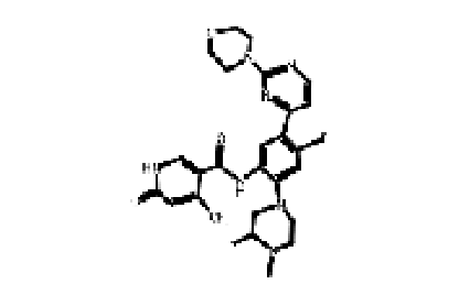 CC1CN(c2cc(F)c(-c3ccnc(N4CCOCC4)n3)cc2NC(=O)c2c[nH]c(=O)cc2C(F)(F)F)CCN1C